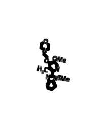 COc1cnc(-c2nc3ccccc3n2SC)c(C)c1OCCN1CCOCC1